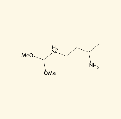 COC(OC)[SiH2]CCC(C)N